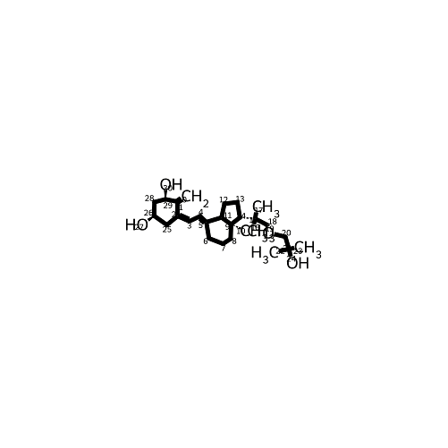 C=C1/C(=C\C=C2CCC[C@@]3(C)C2CC[C@@H]3C(C)(C)COCC(C)(C)O)C[C@@H](O)C[C@H]1O